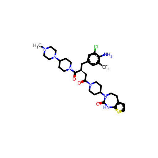 CN1CCN(C2CCN(C(=O)[C@H](CC(=O)N3CCC(N4CCc5ccsc5NC4=O)CC3)Cc3cc(Cl)c(N)c(C(F)(F)F)c3)CC2)CC1